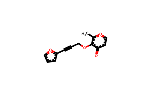 Cc1occc(=O)c1OCC#Cc1ccco1